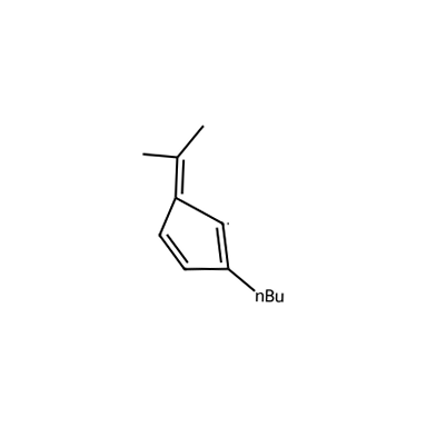 CCCCC1=[C]C(=C(C)C)C=C1